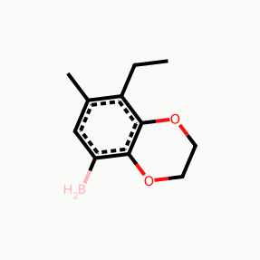 Bc1cc(C)c(CC)c2c1OCCO2